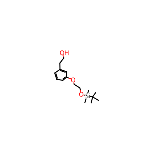 CC(C)(C)[Si](C)(C)OCCOc1cccc(CCO)c1